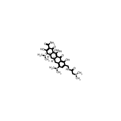 CN(C)CC(=O)NCc1cc(N(C)C)c2c(c1O)C(=O)C1=C(O)[C@]3(O)C(=O)C(C(N)=O)=C(O)[C@@H](N(C)C)[C@@H]3C[C@@H]1C2